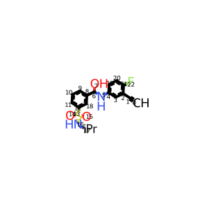 C#Cc1cc(NC(O)c2cccc(S(=O)(=O)NC(C)C)c2)ccc1F